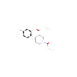 COC(=O)[C@@H]1CN(C(=O)OC(C)(C)C)CC[C@H]1c1ccc(C)cc1